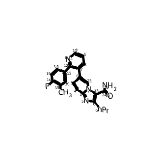 CCCc1nc2ccc(-c3cccnc3-c3ccc(F)c(C)c3)cn2c1C(N)=O